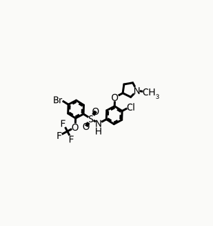 CN1CCC(Oc2cc(NS(=O)(=O)c3ccc(Br)cc3OC(F)(F)F)ccc2Cl)C1